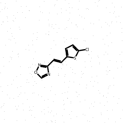 Clc1ccc(C=Cc2ncon2)s1